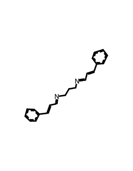 C(=Cc1ccccc1)C=NCCCN=CC=Cc1ccccc1